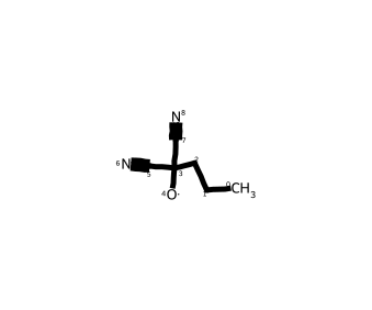 CCCC([O])(C#N)C#N